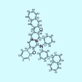 C1=CC2Oc3c(cccc3N(c3cccc(-c4cccc5ccccc45)c3)c3ccccc3-c3cccc4c3oc3cc5ccccc5cc34)C2C=C1